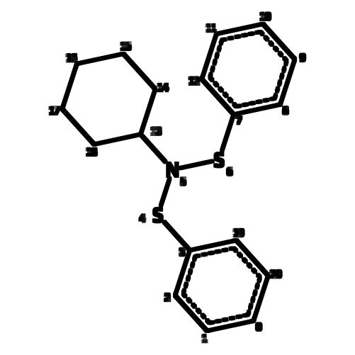 c1ccc(SN(Sc2ccccc2)C2CCCCC2)cc1